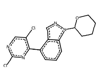 Clc1ncc(Cl)c(-c2cccc3c2cnn3C2CCCCO2)n1